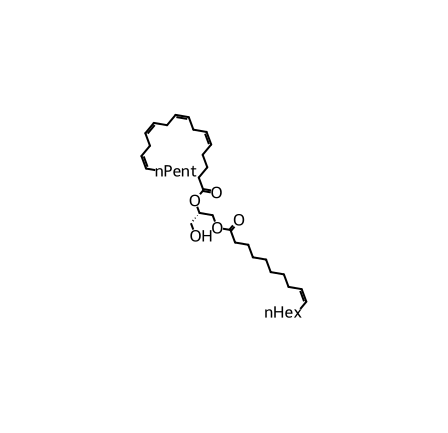 CCCCC/C=C\C/C=C\C/C=C\C/C=C\CCCC(=O)O[C@@H](CO)COC(=O)CCCCCCC/C=C\CCCCCC